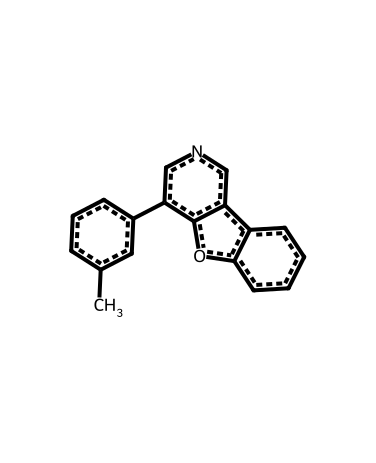 Cc1cccc(-c2cncc3c2oc2ccccc23)c1